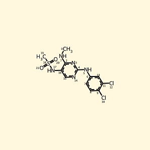 CNc1nc(Nc2ccc(Cl)c(Cl)c2)ncc1NS(C)(=O)=O